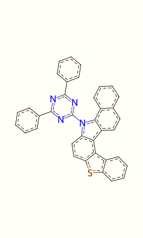 c1ccc(-c2nc(-c3ccccc3)nc(-n3c4ccc5sc6ccccc6c5c4c4ccc5ccccc5c43)n2)cc1